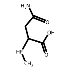 CPC(CC(N)=O)C(=O)O